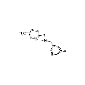 Cc1ccc(CNCc2cncc(F)c2)nc1